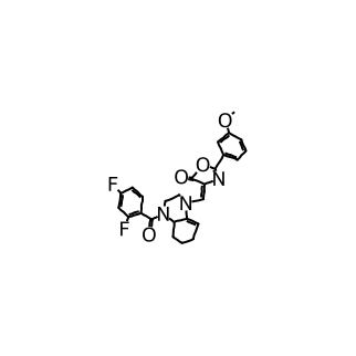 COc1cccc(C2=NC(=CN3CCN(C(=O)c4ccc(F)cc4F)C4CCCC=C43)C(=O)O2)c1